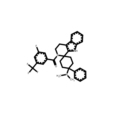 CN(C)C1(c2ccccc2)CCC2(CC1)c1[nH]c3ccccc3c1CCN2C(=O)c1cc(F)cc(C(F)(F)F)c1